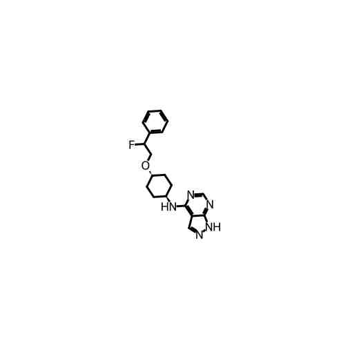 FC(CO[C@H]1CC[C@H](Nc2ncnc3[nH]ncc23)CC1)c1ccccc1